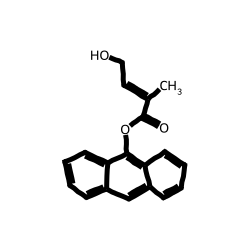 CC(=CCO)C(=O)Oc1c2ccccc2cc2ccccc12